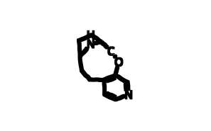 c1cc2c(cn1)OCC1CCC(CC2)N1